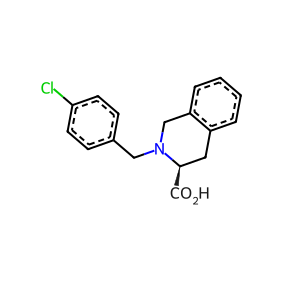 O=C(O)[C@@H]1Cc2ccccc2CN1Cc1ccc(Cl)cc1